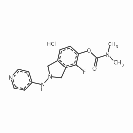 CN(C)C(=O)Oc1ccc2c(c1F)CN(Nc1ccncc1)C2.Cl